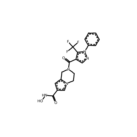 O=C(NO)c1cc2n(c1)CCN(C(=O)c1cnn(-c3ccccc3)c1C(F)(F)F)C2